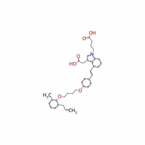 C=CCc1cccc(C)c1OCCCCOc1ccc(C=Cc2cccc3c2c(CC(=O)O)cn3CCCC(=O)O)cc1